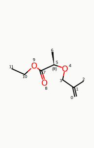 C=C(C)CO[C@H](C)C(=O)OCC